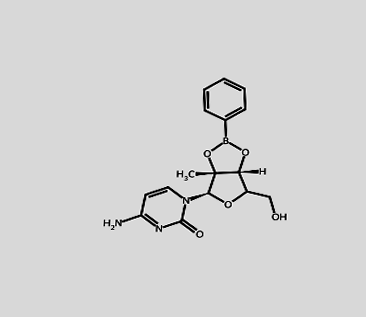 C[C@@]12OB(c3ccccc3)O[C@@H]1C(CO)O[C@H]2n1ccc(N)nc1=O